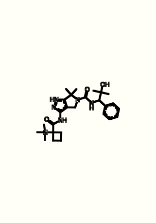 CC(C)(O)C(NC(=O)N1Cc2c(NC(=O)C3([Si](C)(C)C)CCC3)n[nH]c2C1(C)C)c1ccccc1